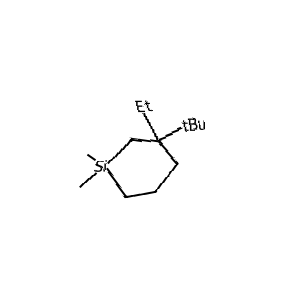 CCC1(C(C)(C)C)CCC[Si](C)(C)C1